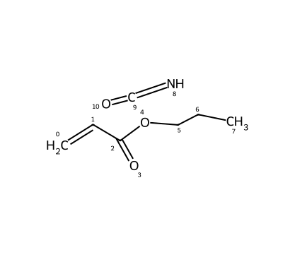 C=CC(=O)OCCC.N=C=O